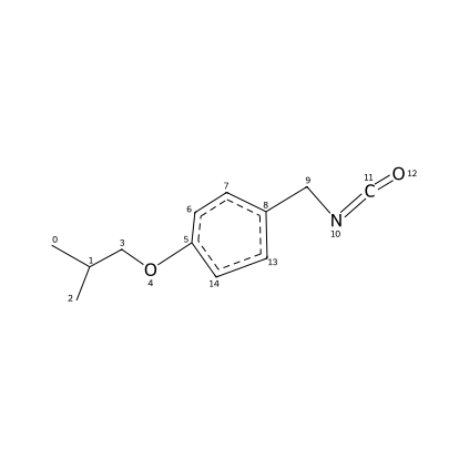 CC(C)COc1ccc(CN=C=O)cc1